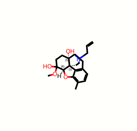 C=CCN1CC[C@]23c4c5ccc(C)c4O[C@H]2C(O)(OC)CC[C@@]3(O)C1C5